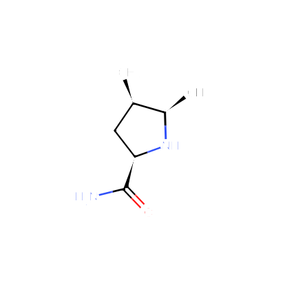 C[C@@H]1C[C@H](C(N)=O)N[C@@H]1C